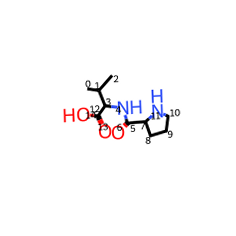 CC(C)C(NC(=O)C1CCCN1)C(=O)O